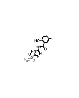 O=C(Nc1nnc(S(=O)(=O)C(F)(F)F)[nH]1)c1cc(Cl)ccc1O